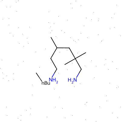 CC(CCN)CC(C)(C)CN.CCCCC